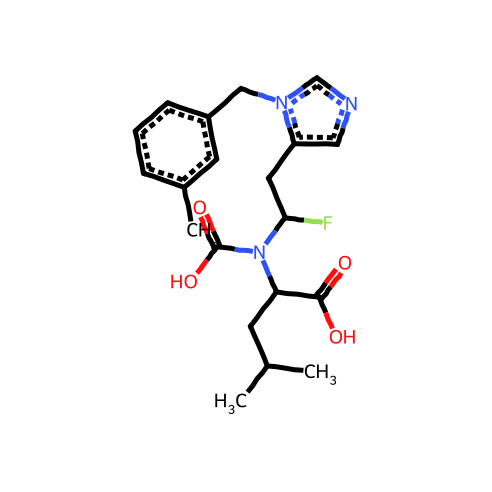 Cc1cccc(Cn2cncc2CC(F)N(C(=O)O)C(CC(C)C)C(=O)O)c1